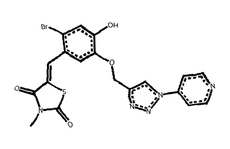 CN1C(=O)S/C(=C\c2cc(OCc3cn(-c4ccncc4)nn3)c(O)cc2Br)C1=O